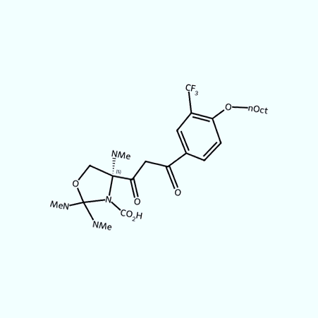 CCCCCCCCOc1ccc(C(=O)CC(=O)[C@]2(NC)COC(NC)(NC)N2C(=O)O)cc1C(F)(F)F